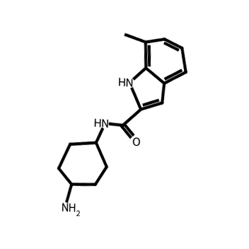 Cc1cccc2cc(C(=O)NC3CCC(N)CC3)[nH]c12